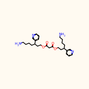 NCCCCC(CCOC(=O)CC(=O)OCCC(CCCCN)c1cccnc1)c1cccnc1